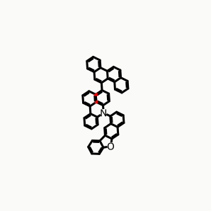 c1ccc(-c2ccccc2N(c2ccc(-c3cc4ccccc4c4ccc5ccccc5c34)cc2)c2cccc3cc4oc5ccccc5c4cc23)cc1